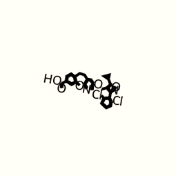 O=C(O)c1ccc2c(c1)Oc1ncc(OCc3c(-c4c(Cl)cccc4Cl)noc3C3CC3)cc1CC2